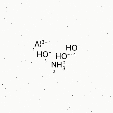 N.[Al+3].[OH-].[OH-].[OH-]